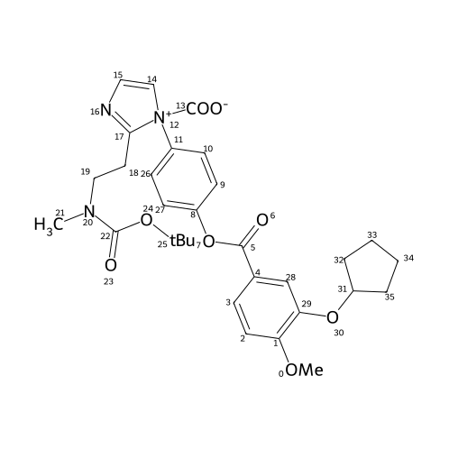 COc1ccc(C(=O)Oc2ccc([N+]3(C(=O)[O-])C=CN=C3CCN(C)C(=O)OC(C)(C)C)cc2)cc1OC1CCCC1